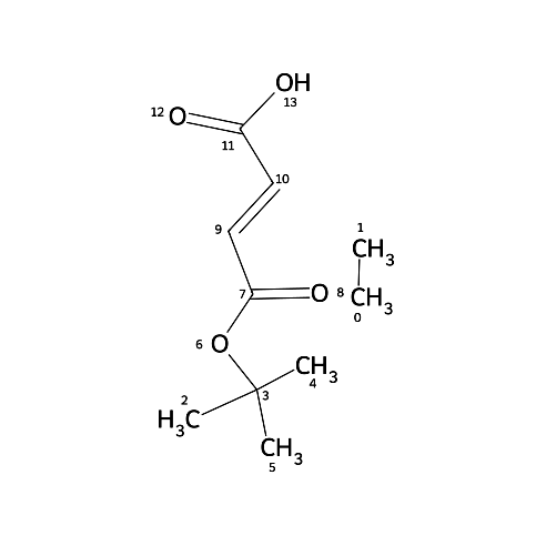 CC.CC(C)(C)OC(=O)C=CC(=O)O